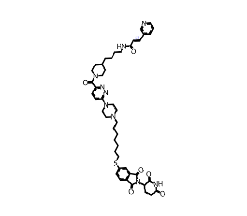 O=C(/C=C/c1cccnc1)NCCCCC1CCN(C(=O)c2ccc(N3CCN(CCCCCCCSc4ccc5c(c4)C(=O)N(C4CCC(=O)NC4=O)C5=O)CC3)nn2)CC1